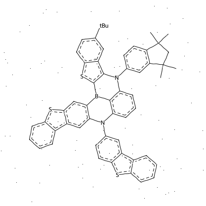 CC(C)(C)c1ccc2sc3c(c2c1)N(c1ccc2c(c1)C(C)(C)CC2(C)C)c1cccc2c1B3c1cc3sc4ccccc4c3cc1N2c1ccc2sc3ccccc3c2c1